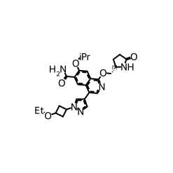 CCOC1CC(n2cc(-c3cnc(OC[C@@H]4CCC(=O)N4)c4cc(OC(C)C)c(C(N)=O)cc34)cn2)C1